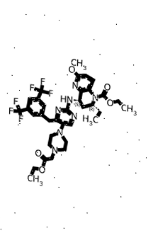 CCOC(=O)CN1CCN(c2cnc(N[C@H]3C[C@@H](CC)N(C(=O)OCC)c4ccc(OC)nc43)nc2Cc2cc(C(F)(F)F)cc(C(F)(F)F)c2)CC1